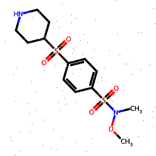 CON(C)S(=O)(=O)c1ccc(S(=O)(=O)C2CCNCC2)cc1